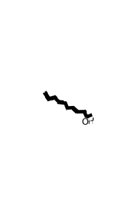 CCCCCC/C=C/CC(C)O